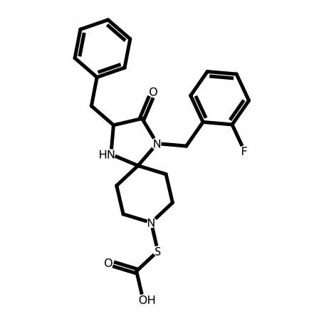 O=C(O)SN1CCC2(CC1)NC(Cc1ccccc1)C(=O)N2Cc1ccccc1F